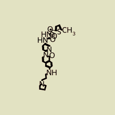 Cc1ccc(S(=O)(=O)NC(=O)Nc2ccc(-n3ccc4cc(NCCCN5CCCC5)ccc4c3=O)nc2)s1